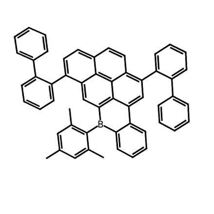 Cc1cc(C)c(B2c3ccccc3-c3cc(-c4ccccc4-c4ccccc4)c4ccc5ccc(-c6ccccc6-c6ccccc6)c6cc2c3c4c56)c(C)c1